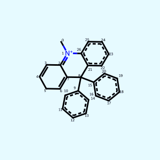 C[N+]1=C2C=CCC=C2C(c2ccccc2)(c2ccccc2)c2ccccc21